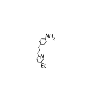 CCc1ccc(CCCc2ccc(N)cc2)nc1